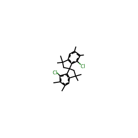 Cc1cc2c(c(Cl)c1C)C1(CC2(C)C)CC(C)(C)c2cc(C)c(C)c(Cl)c21